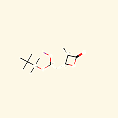 C[C@H]1C(=O)O[C@@H]1C[C@@H](OI)O[Si](C)(C)C(C)(C)C